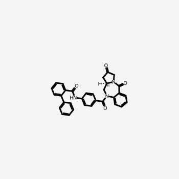 O=C1C[C@@H]2CN(C(=O)c3ccc(NC(=O)c4ccccc4-c4ccccc4)cc3)c3ccccc3C(=O)N2C1